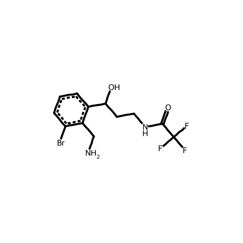 NCc1c(Br)cccc1C(O)CCNC(=O)C(F)(F)F